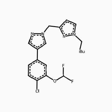 CCC(C)Cn1ccc(Cn2cc(-c3ccc(Cl)c(OC(F)F)c3)cn2)n1